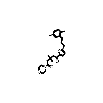 Cc1ccc(C)c(CCCc2ccc(C(=O)CC(C)(C)CC(=O)N3CCOCC3)s2)c1